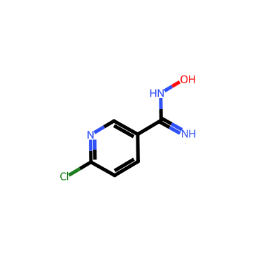 N=C(NO)c1ccc(Cl)nc1